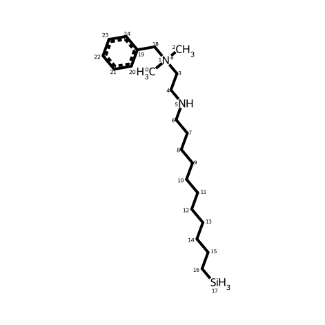 C[N+](C)(CCNCCCCCCCCCCC[SiH3])Cc1ccccc1